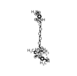 Cc1ncsc1-c1ccc(CNC(=O)[C@@H]2C[C@@H](C)CN2C(=O)[C@@H](NC(=O)CCOCCOCCOCCOCCOCCNc2ccc(S(N)(=O)=O)cc2[N+](=O)[O-])C(C)(C)C)cc1